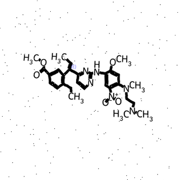 C/C=C(/c1ccnc(Nc2cc([N+](=O)[O-])c(N(C)CCN(C)C)cc2OC)n1)c1cc(C(=O)OC)ccc1CC